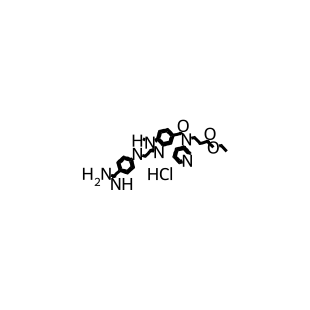 CCOC(=O)CCN(C(=O)c1ccc2c(c1)nc(CNc1ccc(C(=N)N)cc1)n2C)c1cccnc1.Cl